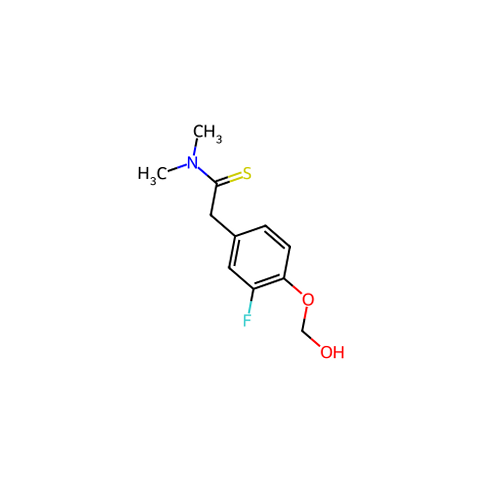 CN(C)C(=S)Cc1ccc(OCO)c(F)c1